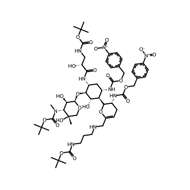 CN(C(=O)OC(C)(C)C)[C@@H]1[C@@H](O)[C@@H](O[C@@H]2[C@@H](O)[C@H](C3OC(CNCCCNC(=O)OC(C)(C)C)=CC[C@H]3NC(=O)OCc3ccc([N+](=O)[O-])cc3)[C@@H](NC(=O)OCc3ccc([N+](=O)[O-])cc3)C[C@H]2NC(=O)[C@H](O)CNC(=O)OC(C)(C)C)OC[C@]1(C)O